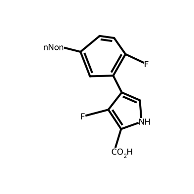 CCCCCCCCCc1ccc(F)c(-c2c[nH]c(C(=O)O)c2F)c1